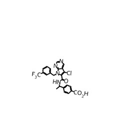 CC(NC(=O)c1c(Cl)c2cncnc2n1Cc1cccc(C(F)(F)F)c1)c1ccc(C(=O)O)cc1